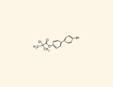 CCC(C)(C)C(=O)Oc1ccc(-c2ccc(C(C)C)cc2)cc1